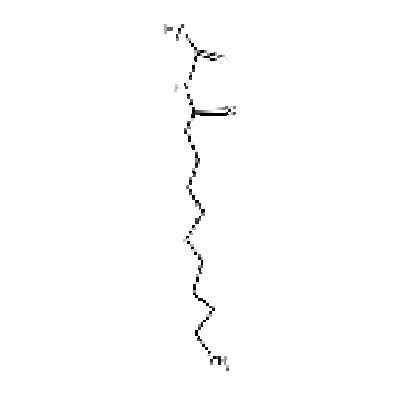 CCCCCCCCCCC(=O)NC(C)=O